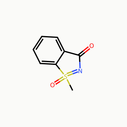 CS1(=O)=NC(=O)c2ccccc21